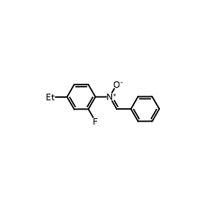 CCc1ccc([N+]([O-])=Cc2ccccc2)c(F)c1